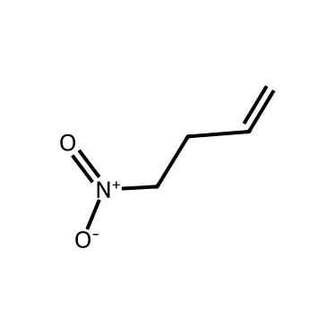 C=CCC[N+](=O)[O-]